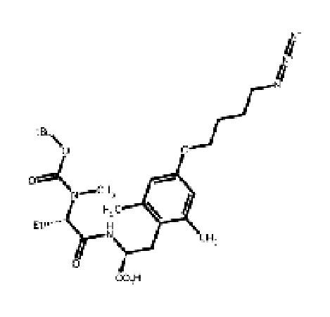 CC[C@@H](C(=O)N[C@@H](Cc1c(C)cc(OCCCCN=[N+]=[N-])cc1C)C(=O)O)N(C)C(=O)OC(C)(C)C